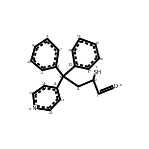 O=[C]C(S)CC(c1ccccc1)(c1ccccc1)c1ccncc1